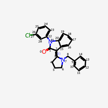 O=C1/C(=C2\CCCN2Cc2ccccc2)c2ccccc2N1c1cccc(Cl)c1